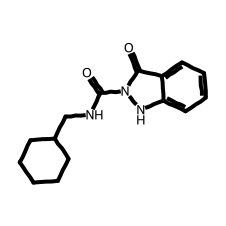 O=C(NCC1CCCCC1)n1[nH]c2ccccc2c1=O